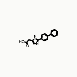 Cn1c(CC(=O)O)cnc1-c1ccc(-c2ccccc2)cc1